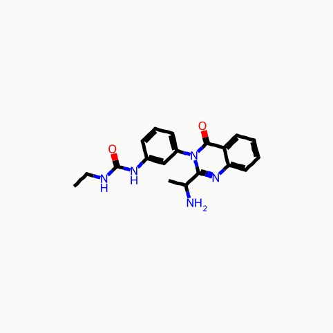 CCNC(=O)Nc1cccc(-n2c(C(C)N)nc3ccccc3c2=O)c1